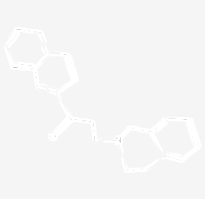 O=C(CCN1CCc2ccccc2C1)c1ccc2ccccc2c1